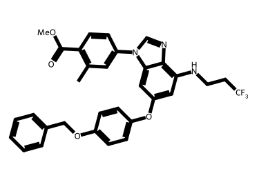 COC(=O)c1ccc(-n2cnc3c(NCCC(F)(F)F)cc(Oc4ccc(OCc5ccccc5)cc4)cc32)cc1C